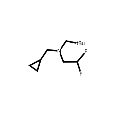 CC(C)(C)CN(CC(F)F)CC1CC1